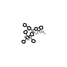 CC1(C)c2ccccc2-c2ccc(N(c3ccc(-c4ccccc4)cc3)c3ccc4c(c3)c3c(-c5ccccc5)nc(-c5ccccc5)nc3n4-c3ccccc3)cc21